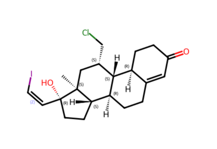 C[C@]12C[C@H](CCl)[C@H]3[C@@H](CCC4=CC(=O)CC[C@@H]43)[C@@H]1CC[C@@]2(O)/C=C\I